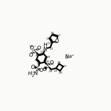 NS(=O)(=O)c1cc(S(=O)(=O)[O-])c(NCc2ccco2)cc1S(=O)(=O)CC1CCC1.[Na+]